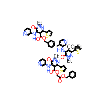 CCOC(=O)c1c(-c2cccs2)nn(CC)c(=O)c1Nc1cnccc1C.CCn1nc(-c2cccs2)c(C(=O)OCC(=O)OCc2ccccc2)c(Nc2cccnc2)c1=O.CCn1nc(-c2cccs2)c(C(=O)OCc2ccccc2)c(Nc2cccnc2)c1=O